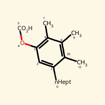 CCCCCCCc1cc(OC(=O)O)c(C)c(C)c1C